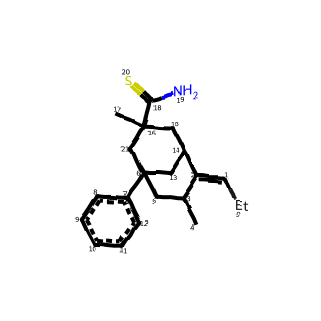 CC/C=C1\C(C)CC2(c3ccccc3)CC1CC(C)(C(N)=S)C2